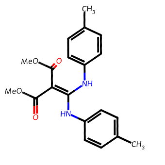 COC(=O)C(C(=O)OC)=C(Nc1ccc(C)cc1)Nc1ccc(C)cc1